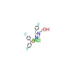 Cl.Cl.OCCCN1CCN(CCOC(c2ccc(F)cc2)c2ccc(F)cc2)CC1Cc1ccc(F)cc1